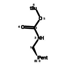 CCC[C@H](C)CNC(=O)OC(C)(C)C